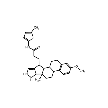 COc1ccc2c(c1)CCC1C2CCC2(C)C3NNC=C3C(CCC(=O)Nc3ncc(C)s3)C12